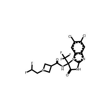 O=C(NC1(C(F)(F)F)C(=O)Nc2nc3cc(Cl)c(Cl)cc3n21)C1CN(CC(F)F)C1